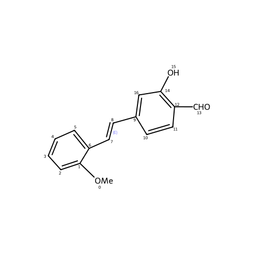 COc1ccccc1/C=C/c1ccc(C=O)c(O)c1